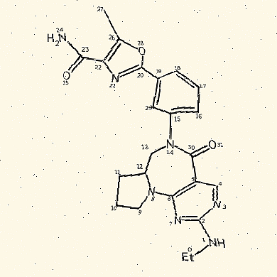 CCNc1ncc2c(n1)N1CCCC1CN(c1cccc(-c3nc(C(N)=O)c(C)o3)c1)C2=O